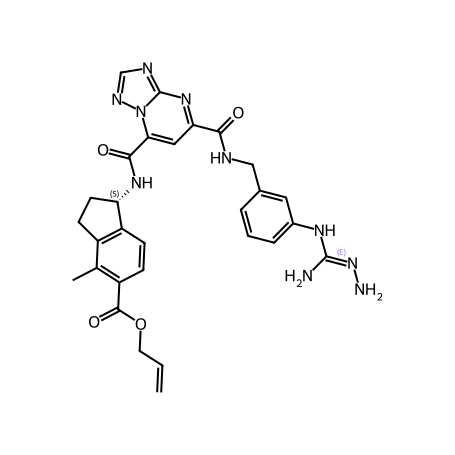 C=CCOC(=O)c1ccc2c(c1C)CC[C@@H]2NC(=O)c1cc(C(=O)NCc2cccc(N/C(N)=N/N)c2)nc2ncnn12